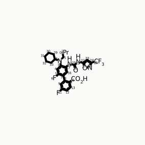 CC(C)CN(c1cc(F)c(-c2cc(F)ccc2C(=O)O)cc1NC(=O)Nc1cc(C(F)(F)F)no1)C1CCCCC1